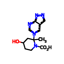 CC1(n2cnc3nncc-3c2)CC(O)CCN1C(=O)O